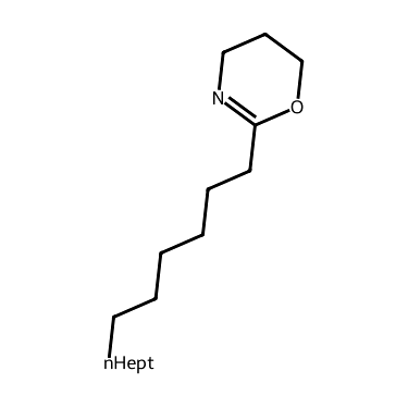 CCCCCCCCCCCCCC1=NCCCO1